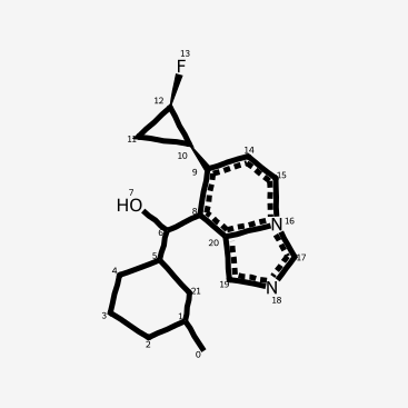 CC1CCCC(C(O)c2c([C@H]3C[C@H]3F)ccn3cncc23)C1